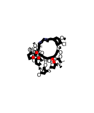 COc1cc2cc(c1Cl)N(C)C(=O)C[C@H](OC(=O)[C@H](C)N(C)C(CCSC1CC(=O)N(C[C@H]3CC[C@H](C(=O)ON4C(=O)CCC4=O)CC3)C1=O)C(F)(F)F)[C@]1(C)O[C@H]1[C@H](C)[C@@H]1C[C@@](O)(NC(=O)O1)[C@H](OC)/C=C/C=C(\C)C2